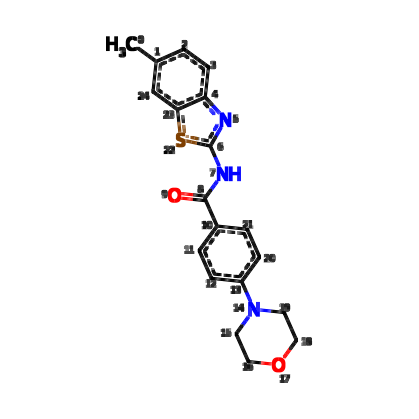 Cc1ccc2nc(NC(=O)c3ccc(N4CCOCC4)cc3)sc2c1